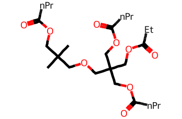 CCCC(=O)OCC(C)(C)COCC(COC(=O)CC)(COC(=O)CCC)COC(=O)CCC